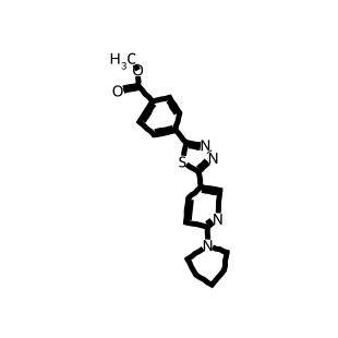 COC(=O)c1ccc(-c2nnc(-c3ccc(N4CCCCC4)nc3)s2)cc1